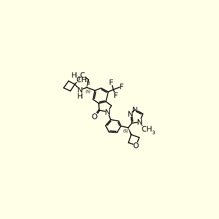 CC[C@H](NC1(C)CCC1)c1cc2c(c(C(F)(F)F)c1)CN(c1cccc([C@@H](c3nncn3C)C3COC3)c1)C2=O